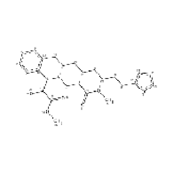 COC(=O)CCSC(c1ccccc1CCCCCCCCc1ccco1)C(O)C(=O)OC